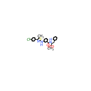 COC(=O)C(Cc1ccccc1)NC(=O)c1cccc(Nc2nc(-c3ccc(Cl)cc3)c(C)s2)c1